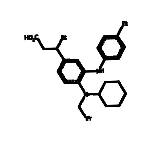 CCc1ccc(Nc2cc(C(CC)CC(=O)O)ccc2N(CC(C)C)C2CCCCC2)cc1